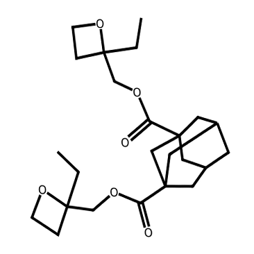 CCC1(COC(=O)C23CC4CC(C2)CC(C(=O)OCC2(CC)CCO2)(C4)C3)CCO1